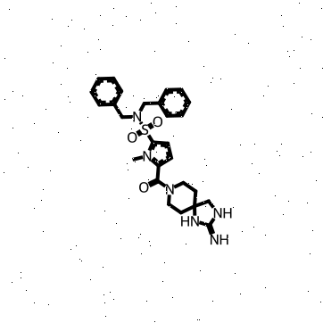 Cn1c(C(=O)N2CCC3(CC2)CNC(=N)N3)ccc1S(=O)(=O)N(Cc1ccccc1)Cc1ccccc1